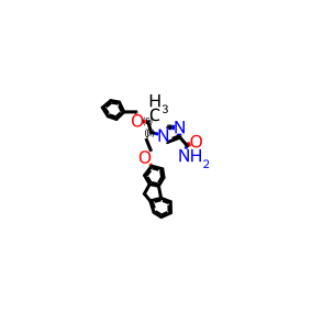 C[C@H](OCc1ccccc1)[C@@H](CCOc1ccc2c(c1)Cc1ccccc1-2)n1cnc(C(N)=O)c1